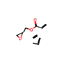 C=C.C=CC.C=CC(=O)OCC1CO1